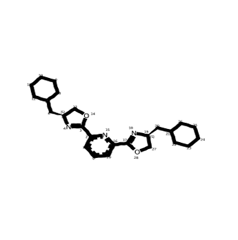 c1cc(C2=N[C@@H](CC3CCCCC3)CO2)nc(C2=N[C@@H](CC3CCCCC3)CO2)c1